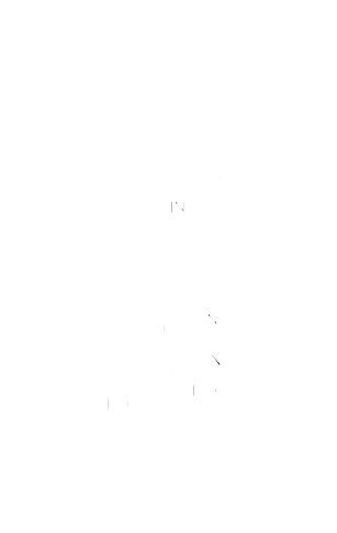 CCOC(=O)[C@H](CO)NCCCCNC(=O)c1ccccc1